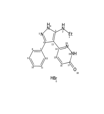 Br.CCNc1[nH]nc(-c2ccccc2)c1-c1ccc(=O)[nH]n1